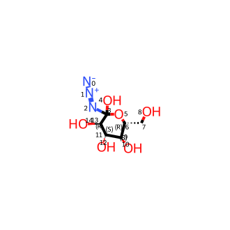 [N-]=[N+]=NC1(O)O[C@H](CO)[C@@H](O)[C@H](O)[C@H]1O